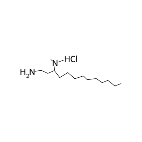 CCCCCCCCCCC(CCN)N(C)C.Cl